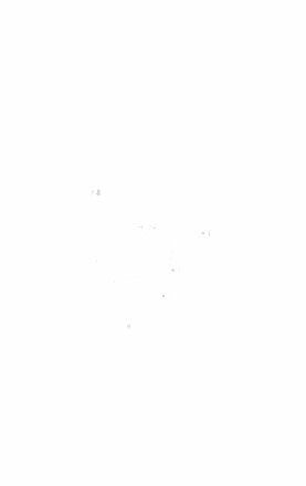 NCCCC(CO)CO.NP(O)O